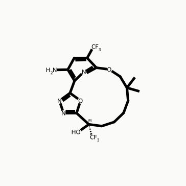 CC1(C)CCCC[C@](O)(C(F)(F)F)c2nnc(o2)-c2nc(c(C(F)(F)F)cc2N)OC1